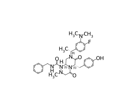 C[C@H](c1ccc(F)c(N(C)C)c1)N1C[C@H]2N(C(=O)CN(C)N2C(=O)NCc2ccccc2)[C@@H](Cc2ccc(O)cc2)C1=O